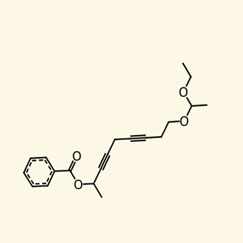 CCOC(C)OCCC#CCC#CC(C)OC(=O)c1ccccc1